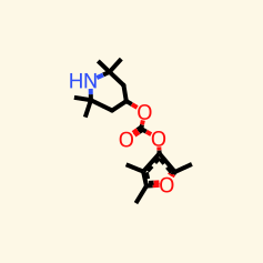 Cc1oc(C)c(OC(=O)OC2CC(C)(C)NC(C)(C)C2)c1C